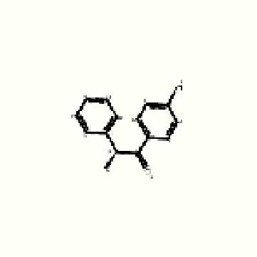 C[C@H](C(=O)c1ccc(Cl)cc1)c1ccccc1